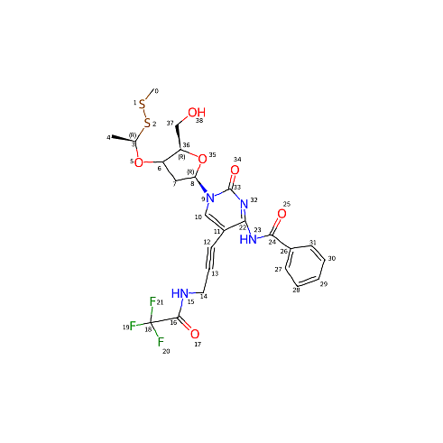 CSS[C@H](C)OC1C[C@H](n2cc(C#CCNC(=O)C(F)(F)F)c(NC(=O)c3ccccc3)nc2=O)O[C@@H]1CO